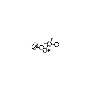 Cc1cc(F)c(-c2ccccc2)cc1-c1c2ccc(C34CC5CC(CC(C5)C3)C4)cc2cc[n+]1C